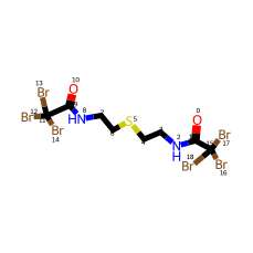 O=C(NCCSCCNC(=O)C(Br)(Br)Br)C(Br)(Br)Br